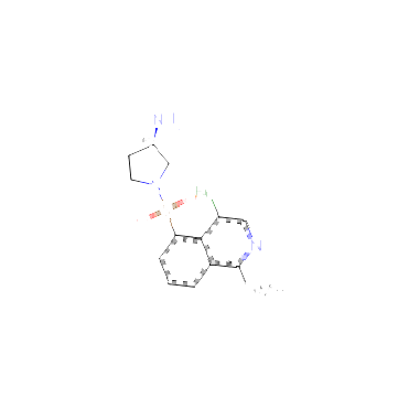 COc1ncc(Br)c2c(S(=O)(=O)N3CC[C@@H](N)C3)cccc12